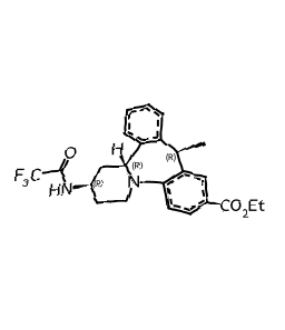 CCOC(=O)c1ccc2c(c1)[C@H](C)c1ccccc1[C@H]1C[C@H](NC(=O)C(F)(F)F)CCN21